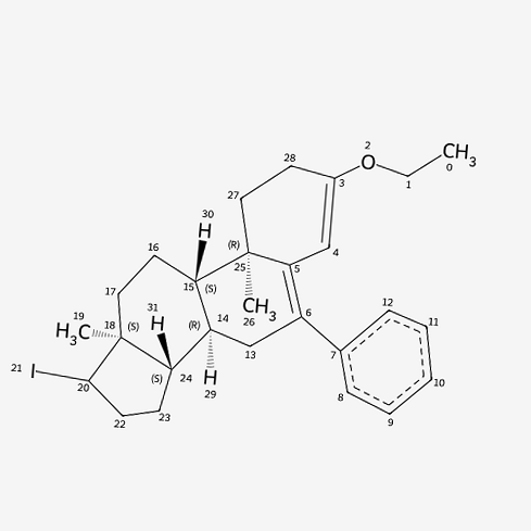 CCOC1=CC2=C(c3ccccc3)C[C@@H]3[C@H](CC[C@]4(C)C(I)CC[C@@H]34)[C@@]2(C)CC1